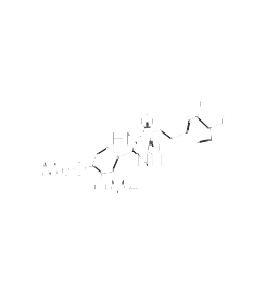 COc1ccc(C(=N)NS(=O)(=O)C=Cc2ccc(Cl)c(Cl)c2)cc1OC